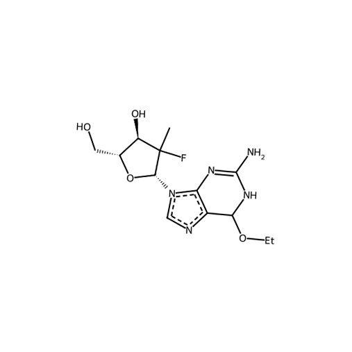 CCOC1NC(N)=Nc2c1ncn2[C@@H]1O[C@H](CO)[C@@H](O)C1(C)F